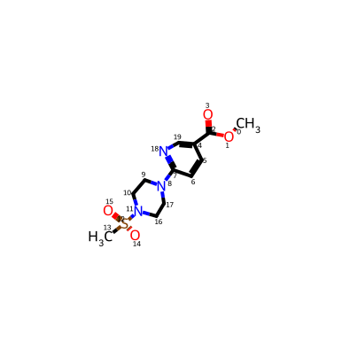 COC(=O)c1ccc(N2CCN(S(C)(=O)=O)CC2)nc1